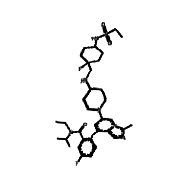 CCN(C(=O)c1cc(F)ccc1-c1cc(N2CCC(NCC3(F)CCC(NS(=O)(=O)CC)CC3)CC2)cn2c(C)ncc12)C(C)C